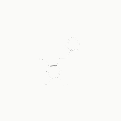 COc1cc(OC)c(CNc2ccccc2)cc1C